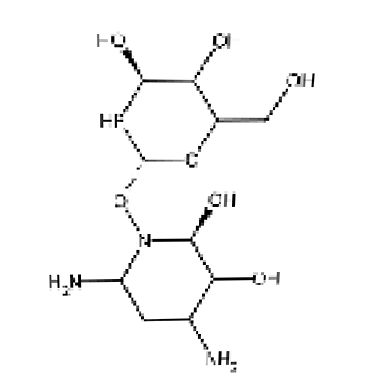 NC1CC(N)N(O[C@H]2OC(CO)C(O)[C@H](O)P2)[C@@H](O)C1O